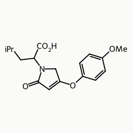 COc1ccc(OC2=CC(=O)N(C(CC(C)C)C(=O)O)C2)cc1